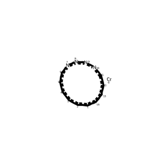 [Cr].c1cccccnnnncccc1